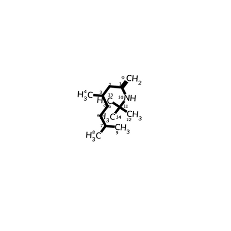 C=C(CC(C)CCC(C)C)NC(C)(C)C